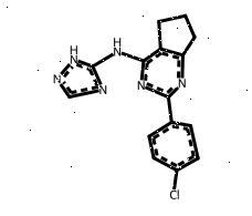 Clc1ccc(-c2nc3c(c(Nc4ncn[nH]4)n2)CCC3)cc1